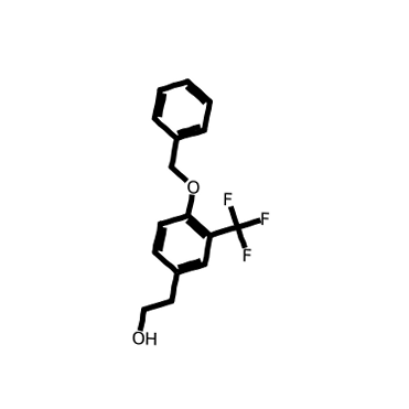 OCCc1ccc(OCc2ccccc2)c(C(F)(F)F)c1